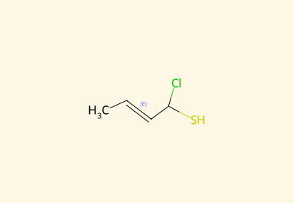 C/C=C/C(S)Cl